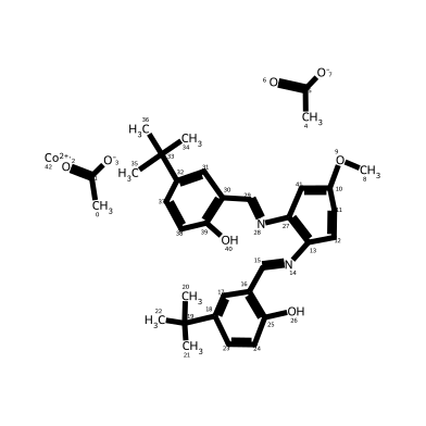 CC(=O)[O-].CC(=O)[O-].COc1ccc(N=Cc2cc(C(C)(C)C)ccc2O)c(N=Cc2cc(C(C)(C)C)ccc2O)c1.[Co+2]